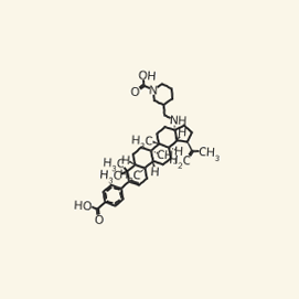 C=C(C)[C@@H]1CC[C@]2(NCC3CCCN(C(=O)O)C3)CC[C@]3(C)[C@H](CC[C@@H]4[C@@]5(C)CC=C(c6ccc(C(=O)O)cc6)C(C)(C)[C@@H]5CC[C@]43C)[C@@H]12